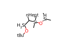 CCCCCCCC([SiH2]OC(C)(C)C)[Si](C)(C)O[SiH](C)C